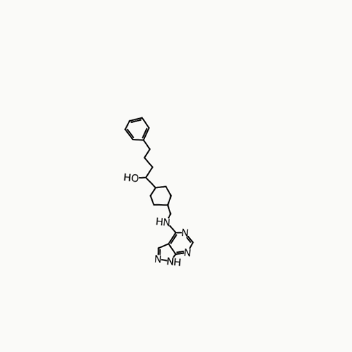 OC(CCCc1ccccc1)C1CCC(CNc2ncnc3[nH]ncc23)CC1